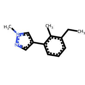 CCc1cccc(-c2cnn(C)c2)c1C